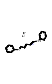 C(=C/C=C/Nc1ccccc1)C=Nc1ccccc1.[Cl-].[H+]